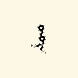 CCCN(CCC)Cc1ccc(CCc2ccccc2)cc1